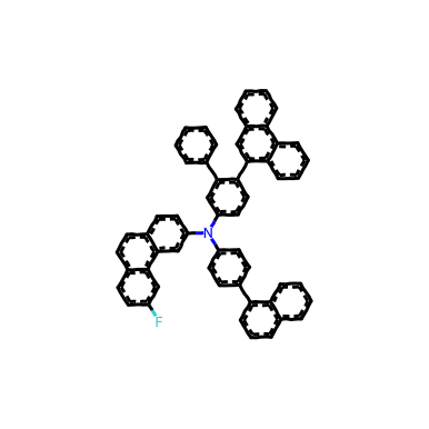 Fc1ccc2ccc3ccc(N(c4ccc(-c5cccc6ccccc56)cc4)c4ccc(-c5cc6ccccc6c6ccccc56)c(-c5ccccc5)c4)cc3c2c1